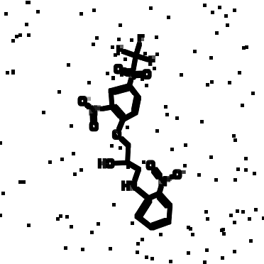 O=[N+]([O-])c1ccccc1NCC(O)COc1ccc(S(=O)(=O)C(F)(F)F)cc1[N+](=O)[O-]